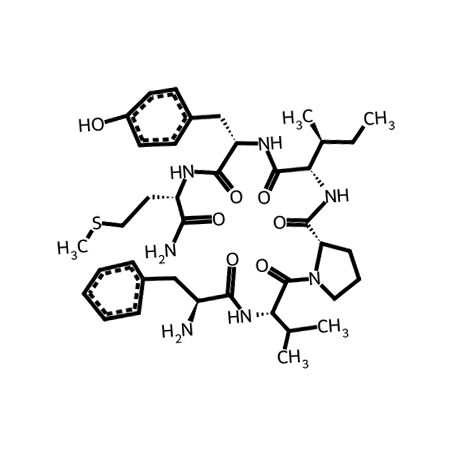 CC[C@H](C)[C@H](NC(=O)[C@@H]1CCCN1C(=O)[C@@H](NC(=O)[C@@H](N)Cc1ccccc1)C(C)C)C(=O)N[C@@H](Cc1ccc(O)cc1)C(=O)N[C@@H](CCSC)C(N)=O